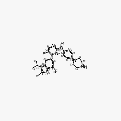 Cc1nc2c(F)cc(-c3nc(Nc4ccc(N5CCNCC5)cn4)ncc3F)cc2n1C(C)C